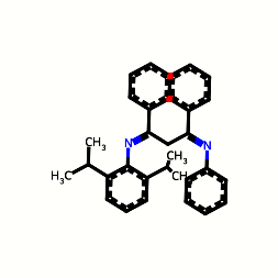 CC(C)c1cccc(C(C)C)c1/N=C(\C/C(=N\c1ccccc1)c1ccccc1)c1ccccc1